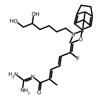 C\C(=C/C=C/C(F)=C/OC1C2=C3CCC(=C1C2)C3SN(C)CCCCC(O)CO)C(=O)N=C(N)N